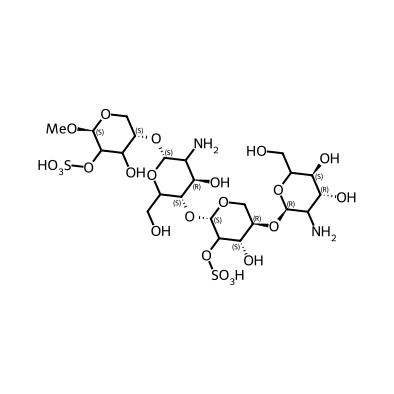 CO[C@H]1OC[C@H](O[C@H]2OC(CO)[C@@H](O[C@@H]3OC[C@@H](O[C@H]4OC(CO)[C@@H](O)[C@H](O)C4N)[C@H](O)C3OS(=O)(=O)O)[C@H](O)C2N)C(O)C1OS(=O)(=O)O